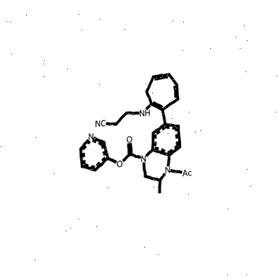 CC(=O)N1c2ccc(C3=C(NCCC#N)CC=CC=C3)cc2N(C(=O)Oc2cccnc2)CC1C